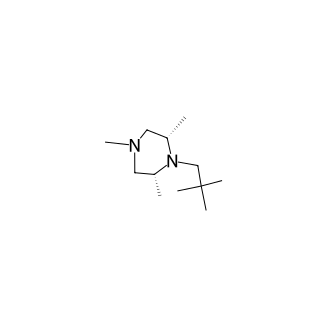 C[C@@H]1CN(C)C[C@H](C)N1CC(C)(C)C